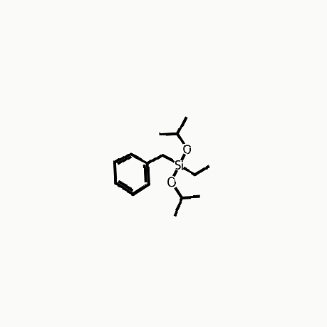 CC[Si](Cc1ccccc1)(OC(C)C)OC(C)C